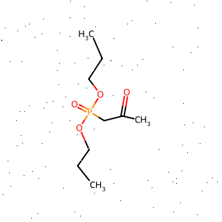 CCCOP(=O)(CC(C)=O)OCCC